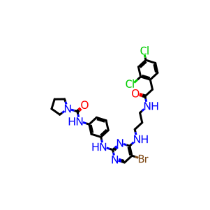 O=C(Cc1ccc(Cl)cc1Cl)NCCCNc1nc(Nc2cccc(NC(=O)N3CCCC3)c2)ncc1Br